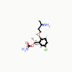 CC(N)CCOc1ccc(F)cc1[C@@H](C)OC(N)=O